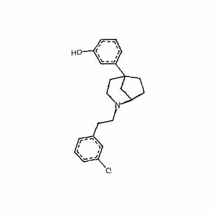 Oc1cccc(C23CCC(C2)N(CCc2cccc(Cl)c2)CC3)c1